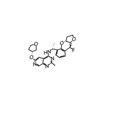 Cc1nc(N[C@H](C)c2cccc(C(F)F)c2O[C@@H]2CCOC2)c2cc(O[C@@H]3CCOC3)ncc2n1